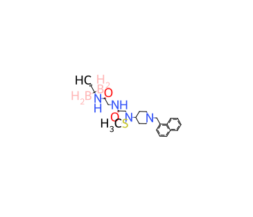 BC(B)(C#C)NC(=O)CNC(=O)CN(SC)C1CCN(Cc2cccc3ccccc23)CC1